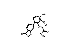 CCCOC(=O)COc1c(-c2ccc3c(c2)COC3=O)ccc(OC)c1OCC